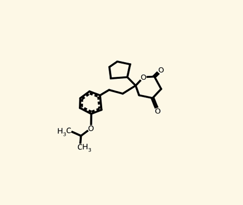 CC(C)Oc1cccc(CCC2(C3CCCC3)CC(=O)CC(=O)O2)c1